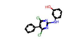 Oc1cccc(Nc2nc(Cl)c(-c3ccccc3)c(Cl)n2)c1